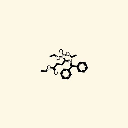 CCOC(=O)CCC(N=C(c1ccccc1)c1ccccc1)P(=O)(OCC)OCC